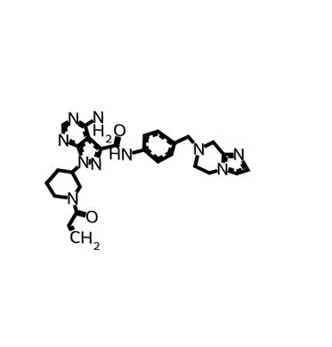 C=CC(=O)N1CCCC(n2nc(C(=O)Nc3ccc(CN4CCn5ccnc5C4)cc3)c3c(N)ncnc32)C1